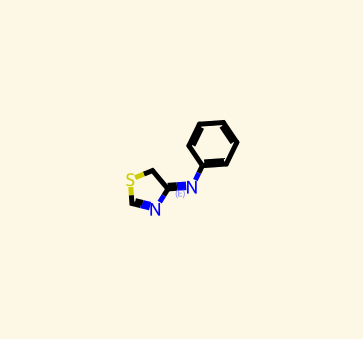 C1=N/C(=N/c2ccccc2)CS1